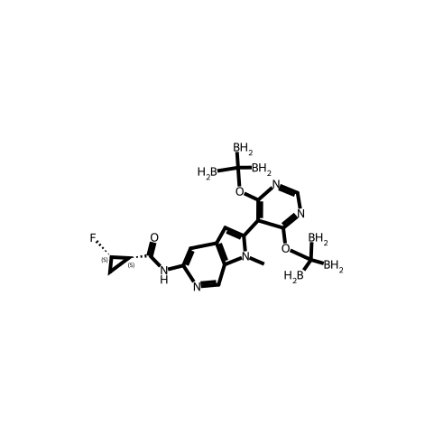 BC(B)(B)Oc1ncnc(OC(B)(B)B)c1-c1cc2cc(NC(=O)[C@@H]3C[C@@H]3F)ncc2n1C